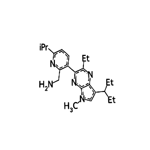 CCc1nc2c(C(CC)CC)cn(C)c2nc1-c1ccc(C(C)C)nc1CN